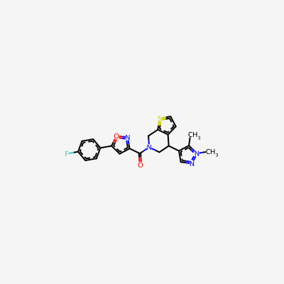 Cc1c(C2CN(C(=O)c3cc(-c4ccc(F)cc4)on3)Cc3sccc32)cnn1C